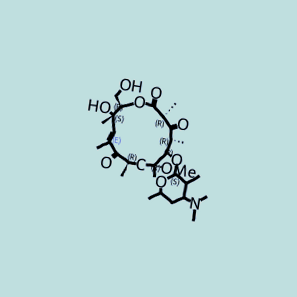 CO[C@]1(C)C[C@@H](C)C(=O)/C(C)=C/[C@](C)(O)[C@@H](CO)OC(=O)[C@H](C)C(=O)[C@H](C)[C@H]1O[C@@H]1OC(C)CC(N(C)C)C1C